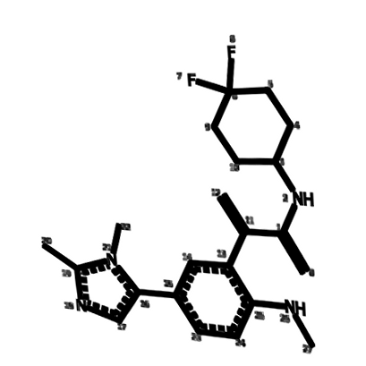 C=C(NC1CCC(F)(F)CC1)C(=C)c1cc(-c2cnc(C)n2C)ccc1NC